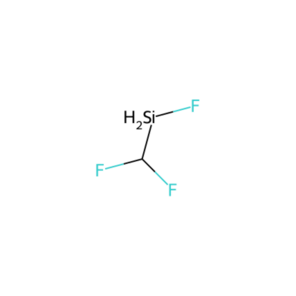 F[SiH2]C(F)F